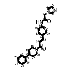 O=C(Cn1ccnc1)Nc1ccc(C=CC(=O)N2CC=C(c3ccccc3)CC2)cn1